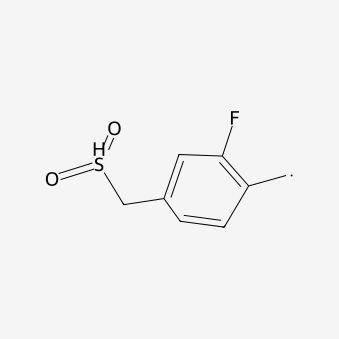 [CH2]c1ccc(C[SH](=O)=O)cc1F